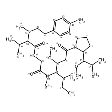 CCC(C)C(C(CC(=O)N1CCCC1C(OC)C(C)C)OC)N(C)C(=O)CNC(=O)C(C(C)C)N(C)CCc1ccc(N)cc1